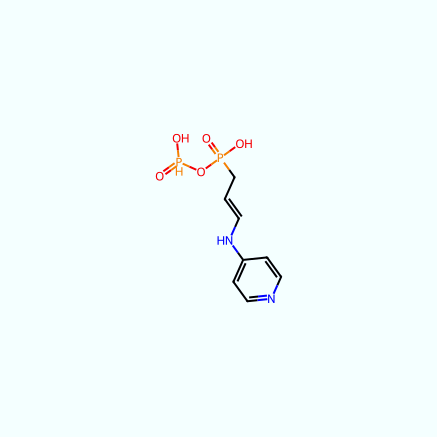 O=[PH](O)OP(=O)(O)CC=CNc1ccncc1